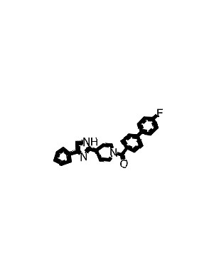 O=C(c1ccc(-c2ccc(F)cc2)cc1)N1CCC(c2nc(-c3ccccc3)c[nH]2)CC1